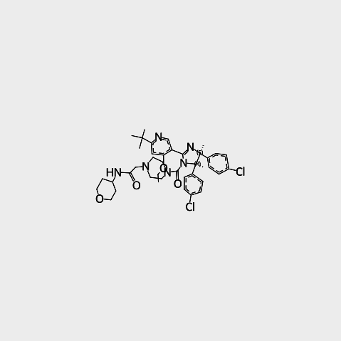 CCOc1cc(C(C)(C)C)ncc1C1=N[C@@](C)(c2ccc(Cl)cc2)[C@@](C)(c2ccc(Cl)cc2)N1C(=O)N1CCN(CC(=O)NC2CCOCC2)CC1